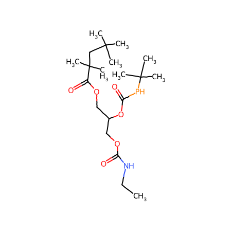 CCNC(=O)OCC(COC(=O)C(C)(C)CC(C)(C)C)OC(=O)PC(C)(C)C